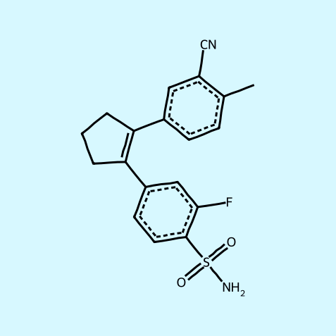 Cc1ccc(C2=C(c3ccc(S(N)(=O)=O)c(F)c3)CCC2)cc1C#N